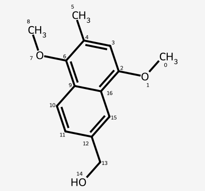 COc1cc(C)c(OC)c2ccc(CO)cc12